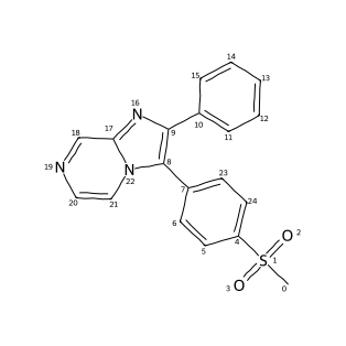 CS(=O)(=O)c1ccc(-c2c(-c3ccccc3)nc3cnccn23)cc1